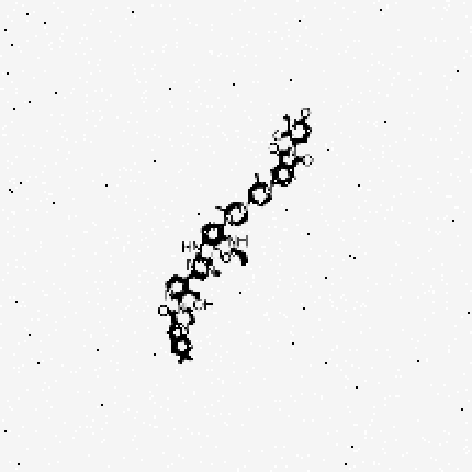 C=CC(=O)Nc1cc(Nc2nc(-c3ccnc(N4CCn5c(cc6c5CC(C)(C)C6)C4=O)c3CO)cn(C)c2=O)ccc1N1CCN(C2CCN(c3ccc4c(c3)C(=O)N(C3CCC(=O)N(C)C3=O)C4=O)[C@H](C)C2)C[C@@H]1C